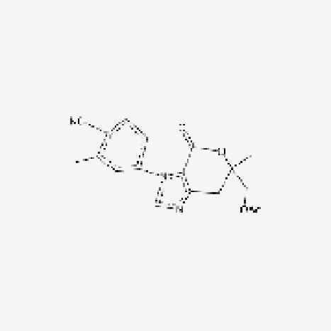 CC(=O)OCC1(C)Cc2ncn(-c3ccc(C#N)c(C)c3)c2C(=O)O1